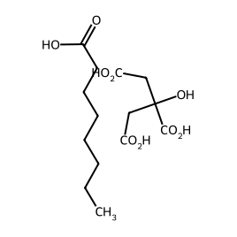 CCCCCCCC(=O)O.O=C(O)CC(O)(CC(=O)O)C(=O)O